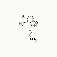 Cc1c(F)ccc2onc(SCCN)c12